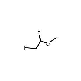 CO[C](F)CF